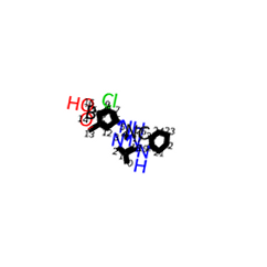 Cc1cnc(Nc2cc(Cl)c3c(c2)COB3O)nc1N[C@@H]1CCCC[C@H]1C#N